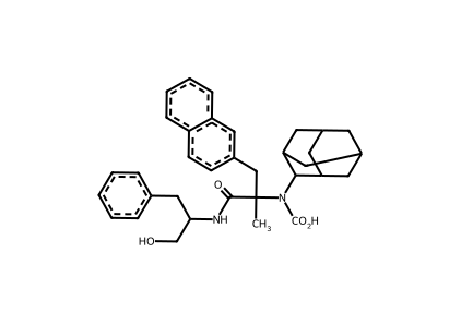 CC(Cc1ccc2ccccc2c1)(C(=O)NC(CO)Cc1ccccc1)N(C(=O)O)C1C2CC3CC(C2)CC1C3